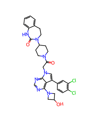 O=C(Cn1cc(-c2ccc(Cl)c(Cl)c2)c2c(N3CC(O)C3)ncnc21)N1CCC(N2CCc3ccccc3NC2=O)CC1